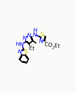 CCOC(=O)c1csc(Nc2nnc(Nc3nc4ccccc4s3)c(CC)c2C)n1